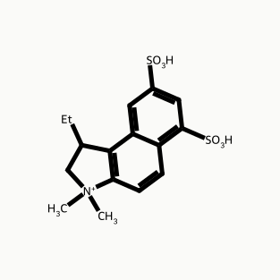 CCC1C[N+](C)(C)c2ccc3c(S(=O)(=O)O)cc(S(=O)(=O)O)cc3c21